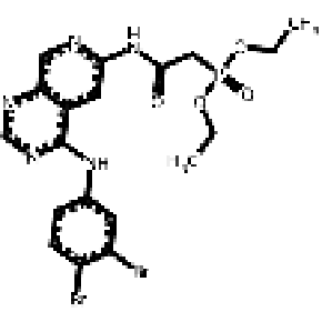 CCOP(=O)(CC(=O)Nc1cc2c(Nc3ccc(Br)c(Br)c3)ncnc2cn1)OCC